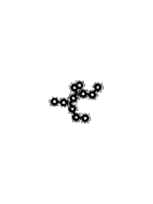 c1ccc(-c2ccc(N(c3ccc(-c4cccc(-c5ccccc5)c4)cc3)c3ccc(N(c4ccc(-c5cccc(-c6ccccc6)c5)cc4)c4cccc5c4CCCC5)cc3)cc2)cc1